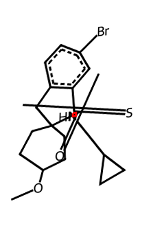 COC1CCC2(CC1)Cc1ccc(Br)cc1C21NC(=S)N(C2CC2)C1=O